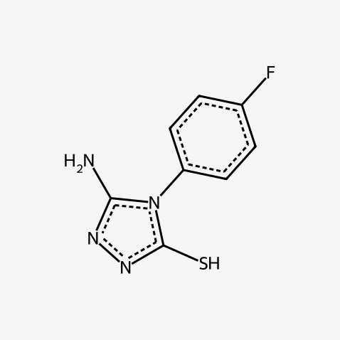 Nc1nnc(S)n1-c1ccc(F)cc1